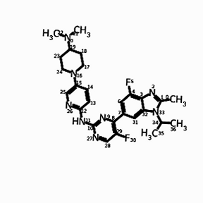 Cc1nc2c(F)cc(-c3nc(Nc4ccc(N5CCC(N(C)C)CC5)cn4)ncc3F)cc2n1C(C)C